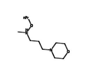 CCCO[SiH](C)CCCN1CCOCC1